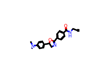 C#CCNC(=O)c1ccc(C2=NCC(c3ccc(N(C)C)cc3)O2)cc1